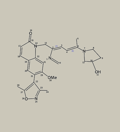 C=N/C(=C\C=C(/C)N1CCC(O)C1)Cn1c(=O)ccc2cc(-c3c(C)noc3C)c(OC)cc21